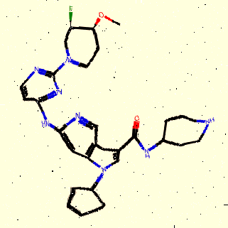 CO[C@H]1CCN(c2nccc(Nc3cc4c(cn3)c(C(=O)NC3CCNCC3)cn4C3CCCC3)n2)C[C@H]1F